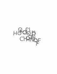 O=C(O)c1ccc(OCC(C2CCCCC2)C2(c3ccc(Cl)cc3)Nc3cc(F)c(F)cc3N2)c(Cl)c1